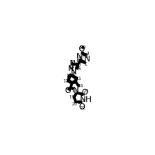 COc1cncc(-c2cn(-c3ccc4c(c3)CN(C3CCC(=O)NC3=O)C4=O)nn2)n1